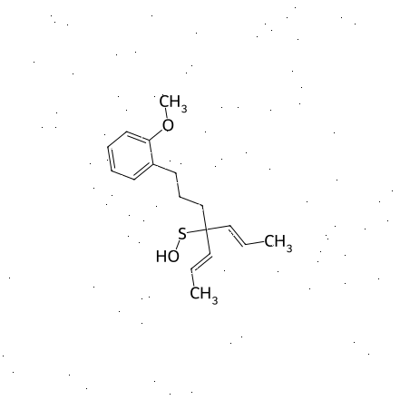 CC=CC(C=CC)(CCCc1ccccc1OC)SO